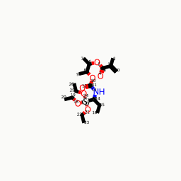 C=C(C)C(=O)OC(C)C(C)OC(=O)NC(CC)[Si](OCC)(OCC)OCC